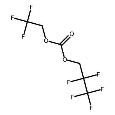 O=C(OCC(F)(F)F)OCC(F)(F)C(F)(F)F